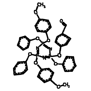 COc1ccc(OP2(Oc3ccccc3)=NP(Oc3ccccc3)(Oc3ccc(C=O)cc3)=NP(Oc3ccccc3)(Oc3ccc(OC)cc3)=N2)cc1